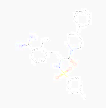 CC(=O)Oc1c(CC(NS(=O)(=O)c2ccc(C)cc2)C(=O)N2CCC(c3ccccc3)CC2)cccc1C(=N)N